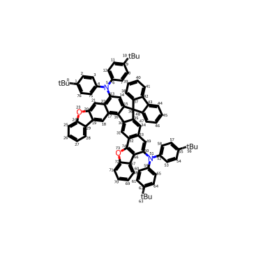 CC(C)(C)c1ccc(N(c2ccc(C(C)(C)C)cc2)c2cc3c(c4cc5c(cc24)oc2ccccc25)-c2cc4c(cc2C32c3ccccc3-c3ccccc32)cc(N(c2ccc(C(C)(C)C)cc2)c2ccc(C(C)(C)C)cc2)c2c3ccccc3oc42)cc1